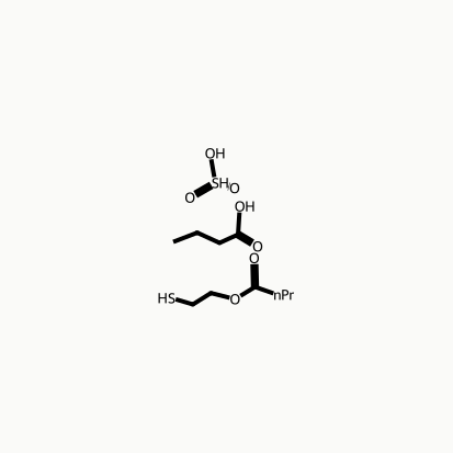 CCCC(=O)O.CCCC(=O)OCCS.O=[SH](=O)O